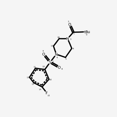 CC(C)(C)C(=O)N1CCN(S(=O)(=O)c2cccc(F)c2)CC1